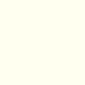 CCOC/C(=C/CCCCOc1cccc(-c2ccsc2)c1)C/C=C/C#CC(C)(C)C